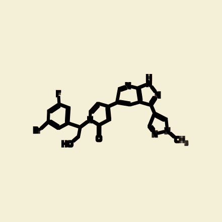 Cn1cc(-c2n[nH]c3ncc(-c4ccn(C(CO)c5cc(F)cc(Br)c5)c(=O)c4)cc23)cn1